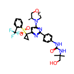 C[C@H]1COCCN1c1cc(C2(S(=O)(=O)c3ccccc3C(F)(F)F)CC2)nc(-c2ccc(NC(=O)NC(C)(C)CO)cc2)n1